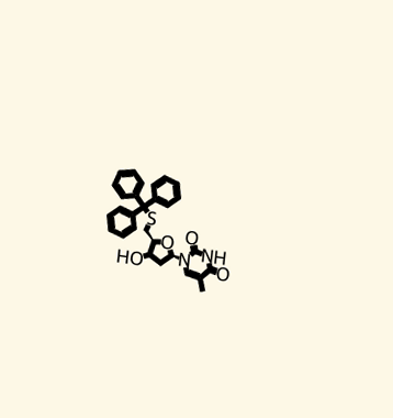 Cc1cn([C@H]2CC(O)[C@@H](CSC(c3ccccc3)(c3ccccc3)c3ccccc3)O2)c(=O)[nH]c1=O